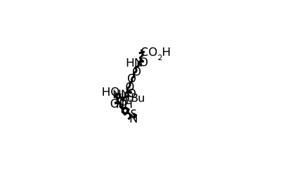 Cc1ncsc1-c1ccc(CNC(=O)[C@@H]2C[C@@H](O)CN2C(=O)C(NC(=O)COCCOCCOCCNC(=O)CCC(C)(C)C(=O)O)C(C)(C)C)cc1